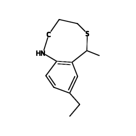 CCc1ccc2c(c1)C(C)SCCCN2